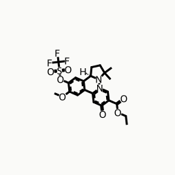 CCOC(=O)c1cn2c(cc1=O)-c1cc(OC)c(OS(=O)(=O)C(F)(F)F)cc1[C@H]1CCC(C)(C)N12